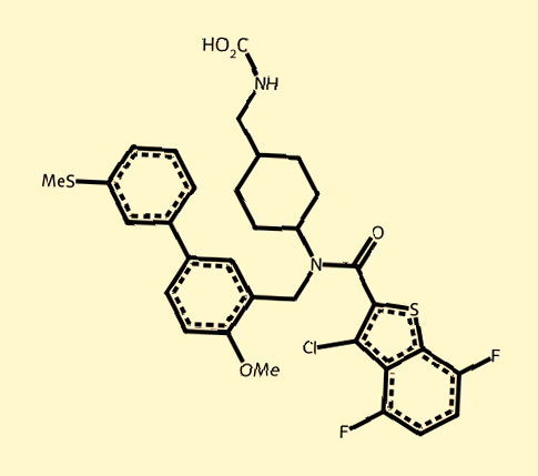 COc1ccc(-c2cccc(SC)c2)cc1CN(C(=O)c1sc2c(F)ccc(F)c2c1Cl)C1CCC(CNC(=O)O)CC1